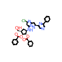 O=C(O[C@@H]1[C@@H](CO)C[C@@H](Nc2cc(Cl)nc3cc(-c4cncc(-c5ccccc5)n4)nn23)[C@@H]1OC(=O)c1ccccc1)c1ccccc1